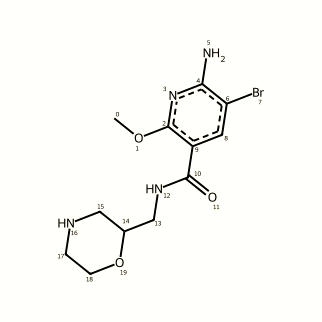 COc1nc(N)c(Br)cc1C(=O)NCC1CNCCO1